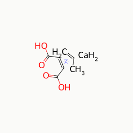 C=CC.O=C(O)/C=C\C(=O)O.[CaH2]